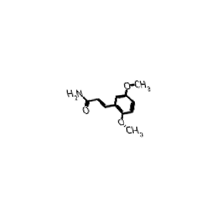 COc1ccc(OC)c(/C=C/C(N)=O)c1